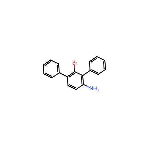 Nc1ccc(-c2ccccc2)c(Br)c1-c1ccccc1